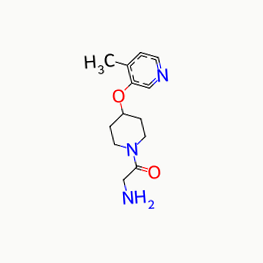 Cc1ccncc1OC1CCN(C(=O)CN)CC1